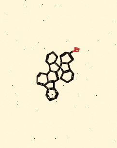 BrC1=CC2C3=C(CCC=C3)C3(C4=CC5=C6C(=CC=CC6C4C4C=CCCC43)c3ccccc35)C2C=C1